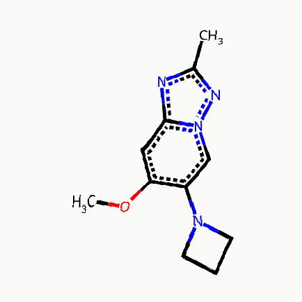 COc1cc2nc(C)nn2cc1N1CCC1